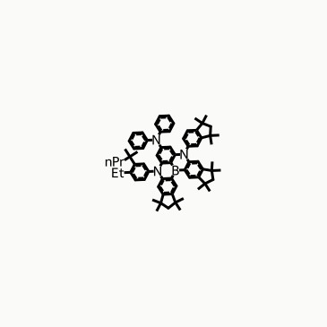 CCCC(C)(C)c1cc(N2c3cc4c(cc3B3c5cc6c(cc5N(c5ccc7c(c5)C(C)(C)CC7(C)C)c5cc(N(c7ccccc7)c7ccccc7)cc2c53)C(C)(C)CC6(C)C)C(C)(C)CC4(C)C)ccc1CC